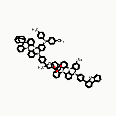 Cc1ccc(N(c2ccc(C)cc2)c2ccc3c(c2)B2c4cccc5c4N(c4ccccc4C54C5CC6CC(C5)CC4C6)c4cccc(c42)N3c2ccc(C(C)(C)CC3CC4CCC5CC3CC4C53c4ccccc4N4c5cccc6c5B(c5cc(C(C)(C)C)ccc5N6c5ccc(-c6cccc7c6oc6ccccc67)cc5)c5cccc3c54)cc2)cc1